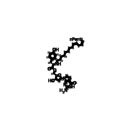 CCCCC/C=C\C/C=C\CCCCCCCCN[C@@H](Cc1ccc(O)cc1)C(=O)OC[C@H]1O[C@@H](n2cnc3c(=O)[nH]c(N)nc32)C[C@@H]1O